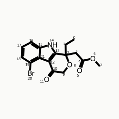 CCC1(CC(=O)OC)OCC(=O)c2c1[nH]c1cccc(Br)c21